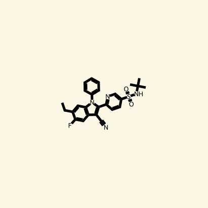 CCc1cc2c(cc1F)c(C#N)c(-c1ccc(S(=O)(=O)NC(C)(C)C)cn1)n2-c1ccccc1